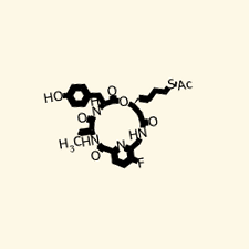 C/C=C1\NC(=O)c2ccc(F)c(n2)CNC(=O)C[C@@H](/C=C/CCSC(C)=O)OC(=O)C(Cc2ccc(O)cc2)NC1=O